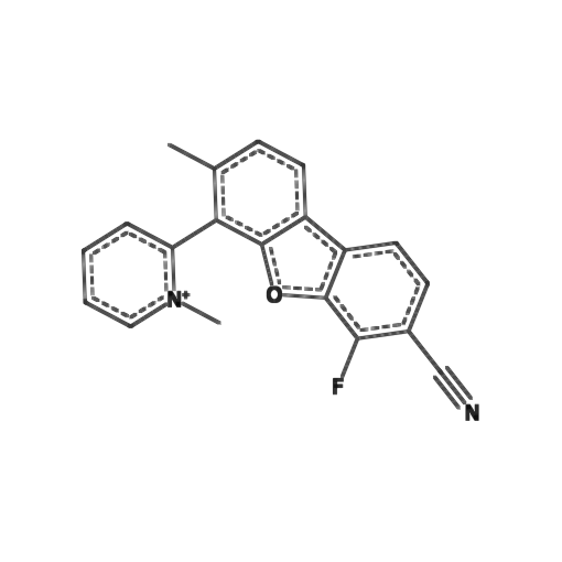 Cc1ccc2c(oc3c(F)c(C#N)ccc32)c1-c1cccc[n+]1C